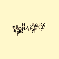 O=C(NCCOc1ccc(Oc2cccc(Cl)c2)cc1Cl)OC(C(F)(F)F)C(F)(F)F